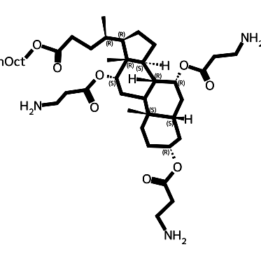 CCCCCCCCOC(=O)CC[C@@H](C)[C@H]1CC[C@H]2[C@H]3C(C[C@H](OC(=O)CCN)[C@]12C)[C@@]1(C)CC[C@@H](OC(=O)CCN)C[C@H]1C[C@H]3OC(=O)CCN